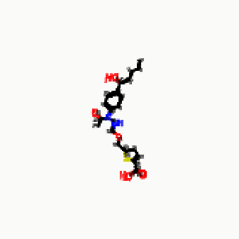 CCCCC(O)c1ccc(N(NCOCc2ccc(C(=O)O)s2)C(C)=O)cc1